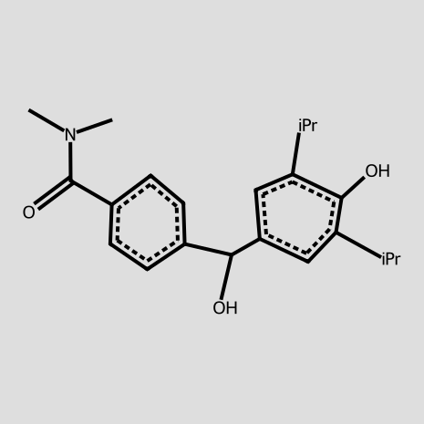 CC(C)c1cc(C(O)c2ccc(C(=O)N(C)C)cc2)cc(C(C)C)c1O